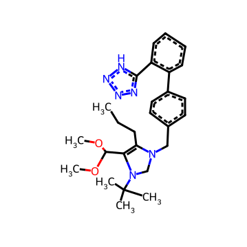 CCCC1=C(C(OC)OC)N(C(C)(C)C)CN1Cc1ccc(-c2ccccc2-c2nnn[nH]2)cc1